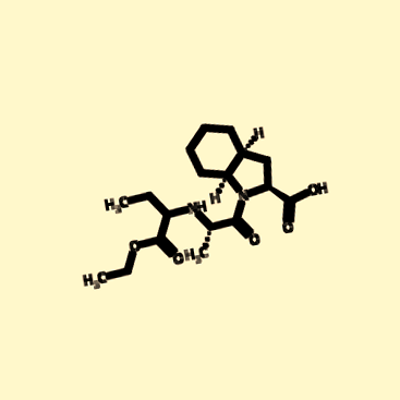 CCOC(=O)C(CC)N[C@@H](C)C(=O)N1[C@H](C(=O)O)C[C@@H]2CCCC[C@@H]21